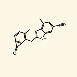 Cc1ccc2c(=O)c2c1Cc1cc2c(C)cc(C#N)cc2[nH]1